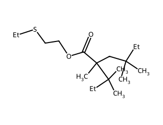 CCSCCOC(=O)C(C)(CC(C)(C)CC)C(C)(C)CC